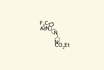 CCOC(=O)N1CCC(CN2CCC3(CC2)CN(C(C)=O)c2c(C(F)(F)F)cccc23)CC1